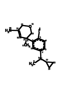 CN(c1ccc(F)c([C@]2(C)COCC(N)=N2)c1)C1CC1